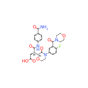 NC(=O)c1ccc(NC(=O)[C@H](CC(=O)O)[C@H]2OCCN(c3ccc(F)c(C(=O)N4CCOCC4)c3)C2=O)cc1